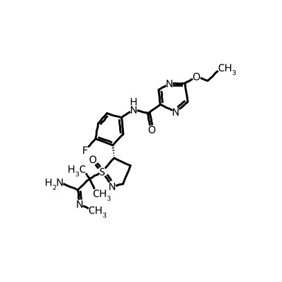 CCOc1cnc(C(=O)Nc2ccc(F)c([C@@H]3CCN=S3(=O)C(C)(C)/C(N)=N\C)c2)cn1